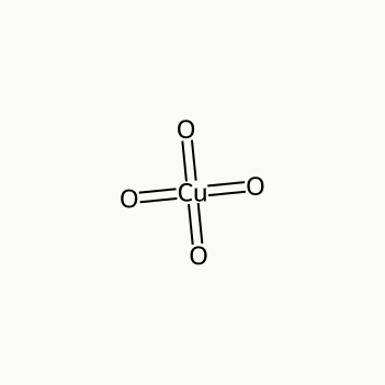 [O]=[Cu](=[O])(=[O])=[O]